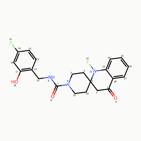 O=C1CC2(CCN(C(=O)NCc3ccc(F)cc3O)CC2)N(F)c2ccccc21